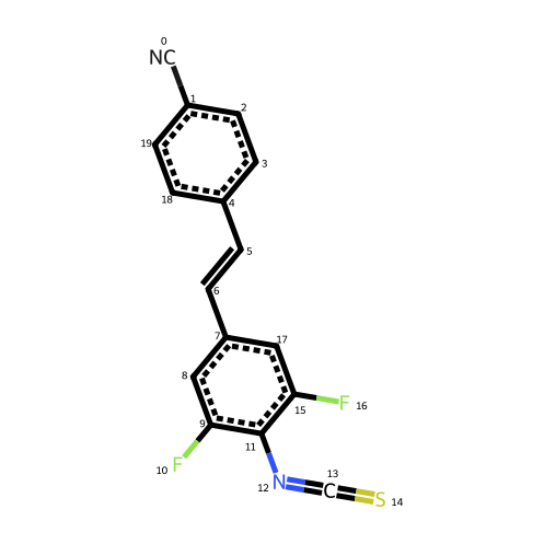 N#Cc1ccc(C=Cc2cc(F)c(N=C=S)c(F)c2)cc1